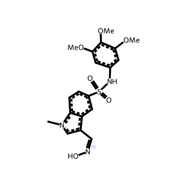 COc1cc(NS(=O)(=O)c2ccc3c(c2)c(/C=N\O)cn3C)cc(OC)c1OC